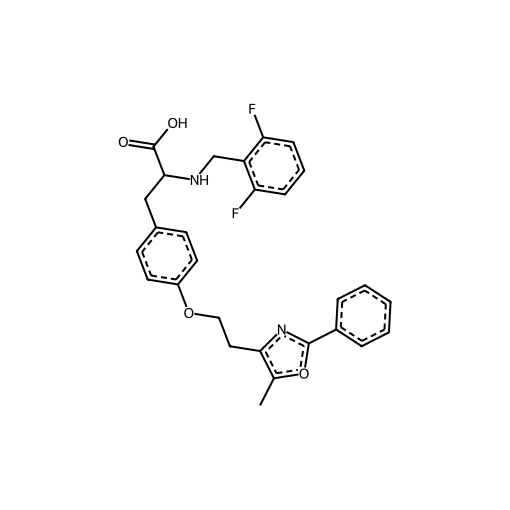 Cc1oc(-c2ccccc2)nc1CCOc1ccc(CC(NCc2c(F)cccc2F)C(=O)O)cc1